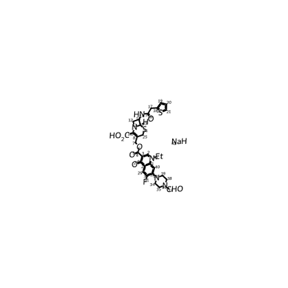 CCn1cc(C(=O)OCC2=C(C(=O)O)N3CC(NC(=O)Cc4cccs4)[C@H]3SC2)c(=O)c2cc(F)c(N3CCN(C=O)CC3)cc21.[NaH]